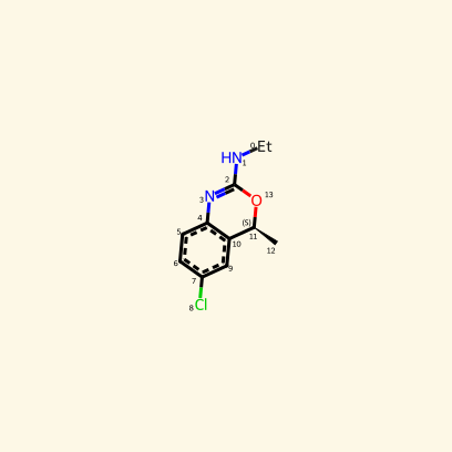 CCNC1=Nc2ccc(Cl)cc2[C@H](C)O1